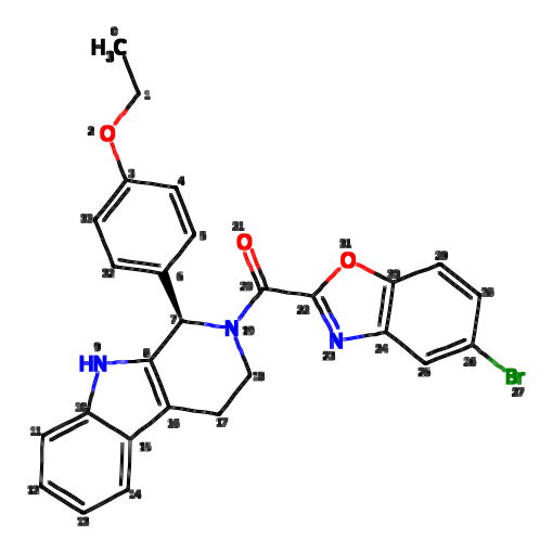 CCOc1ccc([C@@H]2c3[nH]c4ccccc4c3CCN2C(=O)c2nc3cc(Br)ccc3o2)cc1